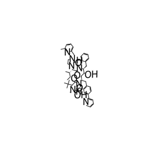 CCC(C)[C@@H](C(=O)N[C@@H](Cc1ccccc1)[C@@H](O)C[C@@H](Cc1ccc(-c2ccccn2)cc1)NC(=O)[C@@H](N(C)C(=O)O)C(C)(C)C)N1CCN(Cc2cccc(C)n2)C1=O